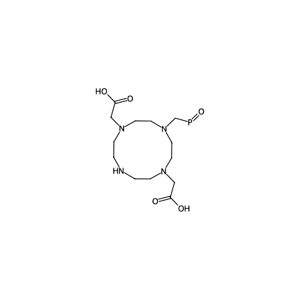 O=PCN1CCN(CC(=O)O)CCNCCN(CC(=O)O)CC1